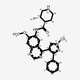 COc1cc2ncnc(-c3cn(C)nc3-c3ccccc3)c2cc1NC(=O)[C@@H]1CCNC[C@H]1F